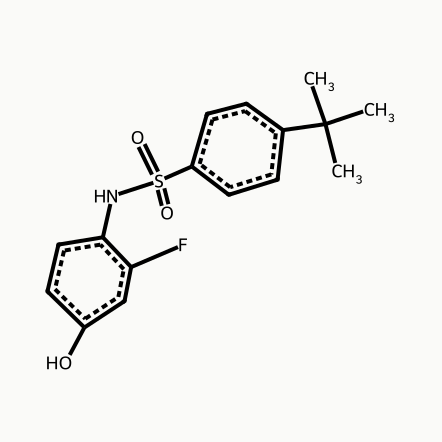 CC(C)(C)c1ccc(S(=O)(=O)Nc2ccc(O)cc2F)cc1